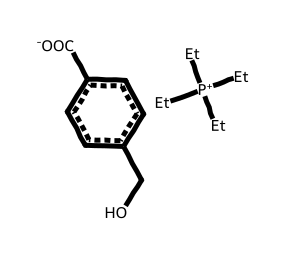 CC[P+](CC)(CC)CC.O=C([O-])c1ccc(CO)cc1